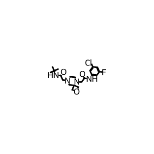 CC(C)(C)NC(=O)CN1CCN(CC(=O)Nc2cc(F)cc(Cl)c2)C2(COC2)C1